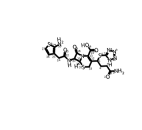 NC(=O)CCC(Sc1nnn[nH]1)C1=C(C(=O)O)N2C(=O)C(NC(=O)Cc3ccsc3N)[C@@H]2SC1